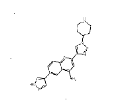 Nc1cc(-c2cn(C3CCNCC3)nn2)nc2ccc(-c3cn[nH]c3)cc12